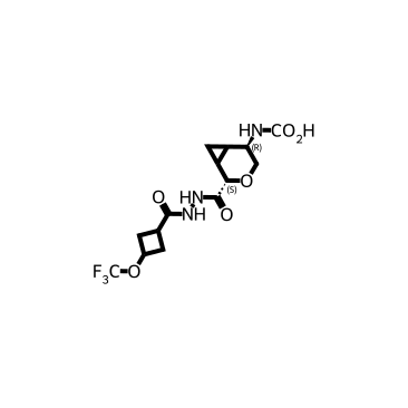 O=C(O)N[C@H]1CO[C@H](C(=O)NNC(=O)C2CC(OC(F)(F)F)C2)C2CC21